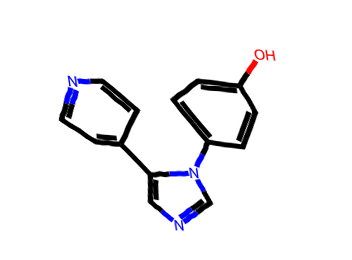 Oc1ccc(-n2cncc2-c2ccncc2)cc1